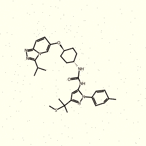 CSC(C)(C)c1cc(NC(=O)N[C@H]2CC[C@H](Oc3ccc4nnc(C(C)C)n4c3)CC2)n(-c2ccc(C)cc2)n1